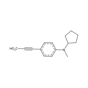 CN(c1ccc(C#CC(=O)O)cc1)C1CCCC1